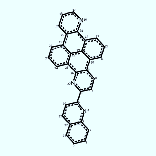 c1ccc2nc(-c3ccc4c5cccc6c7ncccc7c7cccc(c4n3)c7c56)ccc2c1